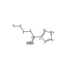 CCCCC(=N)c1ccsc1